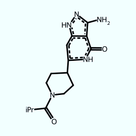 CC(C)C(=O)N1CCC(c2cc3[nH]nc(N)c3c(=O)[nH]2)CC1